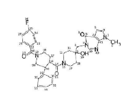 Cn1ccc2c(=O)n(CC3(O)CCN(C(=O)C4CCN(C(=O)c5ccc(F)cc5)CC4c4ccccc4)CC3)cnc21